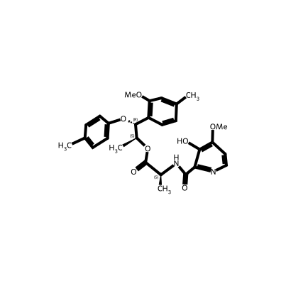 COc1cc(C)ccc1[C@@H](Oc1ccc(C)cc1)[C@H](C)OC(=O)[C@H](C)NC(=O)c1nccc(OC)c1O